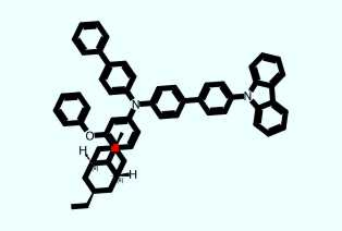 CC[C@H]1C[C@H]2C[C@@H](C)C[C@H](C1)C2c1ccc(N(c2ccc(-c3ccccc3)cc2)c2ccc(-c3ccc(-n4c5ccccc5c5ccccc54)cc3)cc2)cc1Oc1ccccc1